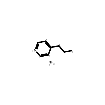 CCCc1ccncc1.N